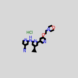 Cl.N#Cc1ccnc(Nc2cc(C3CC3)cc(-c3cncc(OCCN4CCOCC4)c3)n2)c1